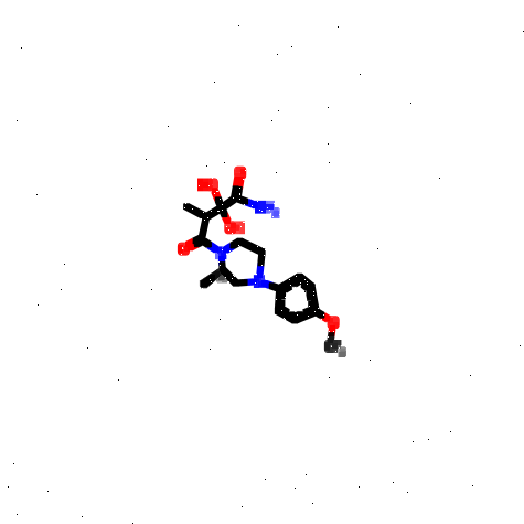 CC(C(=O)N1CCN(c2ccc(OC(F)(F)F)cc2)C[C@H]1C)C(O)(O)C(N)=O